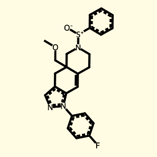 COCC12Cc3cnn(-c4ccc(F)cc4)c3C=C1CCN([S+]([O-])c1ccccc1)C2